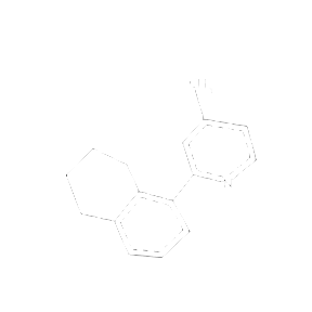 Cc1ccnc(-c2cccc3c2CCCC3)c1